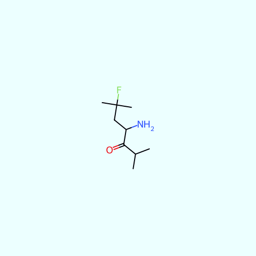 CC(C)C(=O)C(N)CC(C)(C)F